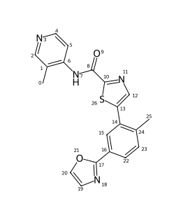 Cc1cnccc1NC(=O)c1ncc(-c2cc(-c3ncco3)ccc2C)s1